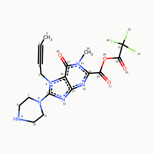 CC#CCn1c(N2CCNCC2)nc2nc(C(=O)OC(=O)C(F)(F)F)n(C)c(=O)c21